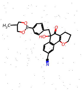 CC1COB(c2ccc(CC3(O)C(=O)C4=C(OCCC4)c4cc(C#N)ccc43)cc2)OC1